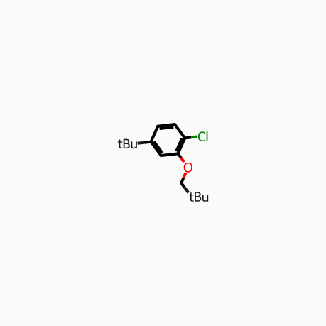 CC(C)(C)COc1cc(C(C)(C)C)ccc1Cl